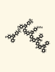 CS(=O)(=O)c1ccc(-c2cc(-c3ccncc3)n(-c3ccc(F)cc3)n2)cc1.CSc1ccc(-c2cc(-c3ccncc3)n(-c3ccc(F)cc3)n2)cc1.C[S+]([O-])c1ccc(-c2cc(-c3ccncc3)n(-c3ccc(F)cc3)n2)cc1.Fc1ccc(-n2nc(-c3ccccc3)c(Br)c2-c2ccncc2)cc1.Fc1ccc(-n2nc(-c3ccccc3)cc2-c2ccncc2)cc1